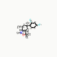 CC[C@H]1C[C@@](CC)(c2ccc(F)cc2F)C[C@@H]2[C@@H]1N(CC)OC2(CC)CC